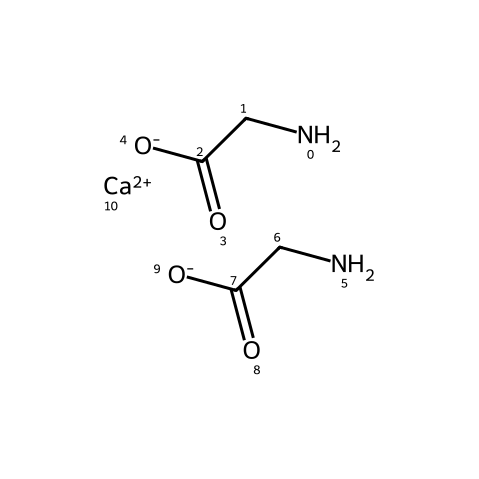 NCC(=O)[O-].NCC(=O)[O-].[Ca+2]